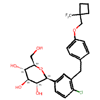 OC[C@H]1O[C@@H](c2ccc(Cl)c(Cc3ccc(OCC4(C(F)(F)F)CCC4)cc3)c2)[C@H](O)[C@@H](O)[C@@H]1O